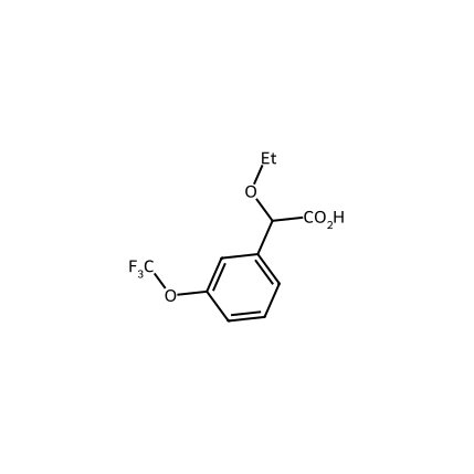 CCOC(C(=O)O)c1cccc(OC(F)(F)F)c1